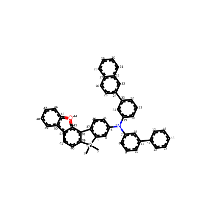 C[Si]1(C)c2cc(N(c3cccc(-c4ccccc4)c3)c3cccc(-c4ccc5ccccc5c4)c3)ccc2-c2c1ccc1c2oc2ccccc21